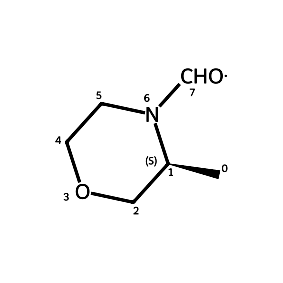 C[C@H]1COCCN1[C]=O